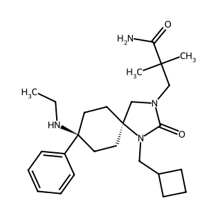 CCN[C@]1(c2ccccc2)CC[C@]2(CC1)CN(CC(C)(C)C(N)=O)C(=O)N2CC1CCC1